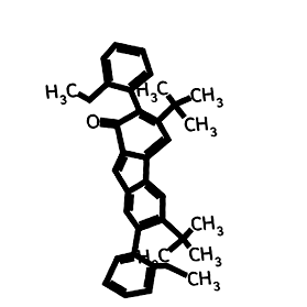 CCc1ccccc1C1=C(C(C)(C)C)C=C2C(=Cc3cc(-c4ccccc4CC)c(C(C)(C)C)cc32)C1=O